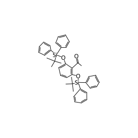 CC(=O)c1c(O[Si](c2ccccc2)(c2ccccc2)C(C)(C)C)cccc1O[Si](c1ccccc1)(c1ccccc1)C(C)(C)C